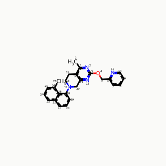 Cc1nc(OCc2ccccn2)nc2c1CCN(c1cccc3cccc(C)c13)C2